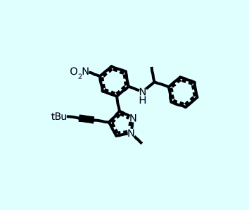 CC(Nc1ccc([N+](=O)[O-])cc1-c1nn(C)cc1C#CC(C)(C)C)c1ccccc1